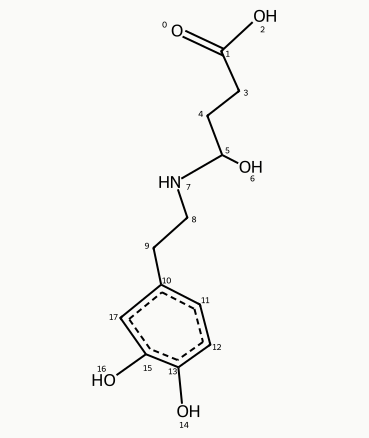 O=C(O)CCC(O)NCCc1ccc(O)c(O)c1